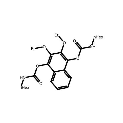 CCCCCCNC(=O)Oc1c(OCC)c(OCC)c(OC(=O)NCCCCCC)c2ccccc12